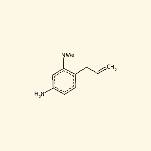 C=CCc1ccc(N)cc1NC